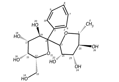 C[C@H]1OC(C2(c3cc[c]cc3)O[C@H](CO)[C@H](O)[C@H](O)[C@H]2O)[C@@H](O)[C@@H](O)[C@@H]1O